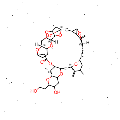 C=C1C2C3C[C@@]45CC6OC7C(O4)[C@H]4OC(CCC4O[C@H]7C6O5)CC(=O)OC4C(C[C@H]5OC(CC[C@@H]1OC32)CC(C)C5=C)OC1CC(O)C(CCO)OC1[C@@H]4C